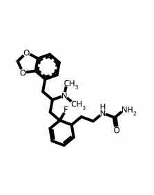 CN(C)C(Cc1cccc2c1OCO2)CC1(F)C=CC=CC1CCNC(N)=O